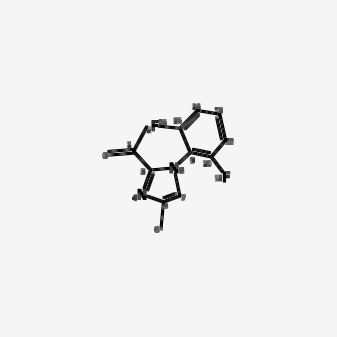 C=C(C)c1nc(C)cn1-c1c(F)cccc1F